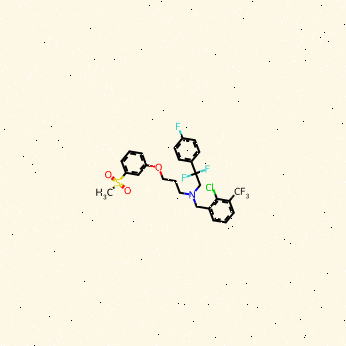 CS(=O)(=O)c1cccc(OCCCN(Cc2cccc(C(F)(F)F)c2Cl)CC(F)(F)c2ccc(F)cc2)c1